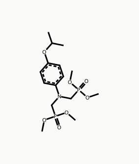 COP(=O)(CN(CP(=O)(OC)OC)c1ccc(OC(C)C)cc1)OC